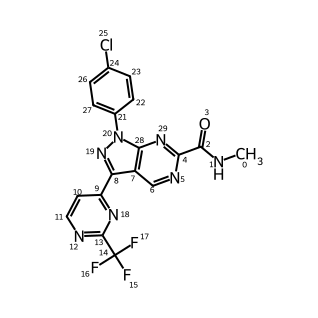 CNC(=O)c1ncc2c(-c3ccnc(C(F)(F)F)n3)nn(-c3ccc(Cl)cc3)c2n1